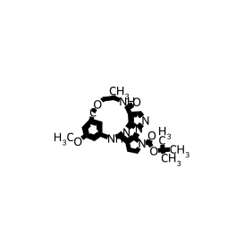 COc1cc2cc(c1)Nc1nc3c(cnn3c3c1CCN3C(=O)OC(C)(C)C)C(=O)NC(C)COC2